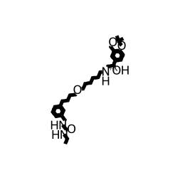 CCNC(=O)NCc1cccc(CCCCOCCCCCCNC[C@@H](O)c2ccc3c(c2)COC(C)(C)O3)c1